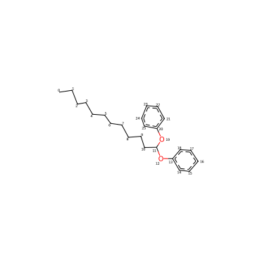 CCCCCCCCCCCC(Oc1ccccc1)Oc1ccccc1